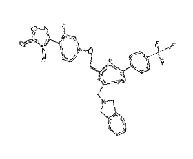 O=c1[nH]c(-c2ccc(OCc3sc(-c4ccc(C(F)(F)F)cc4)nc3CN3Cc4ccccc4C3)cc2F)no1